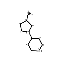 NC1CCN(C2CCNCC2)C1